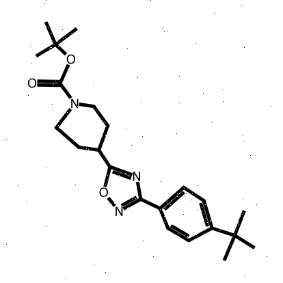 CC(C)(C)OC(=O)N1CCC(c2nc(-c3ccc(C(C)(C)C)cc3)no2)CC1